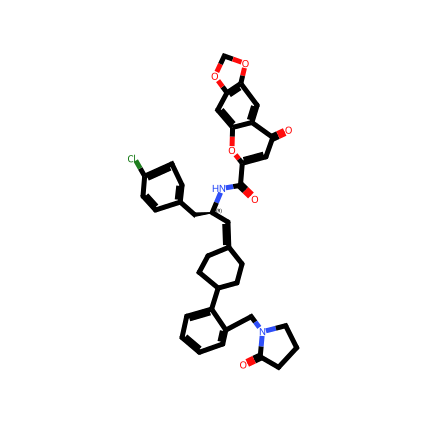 O=C(N[C@@H](C=C1CCC(c2ccccc2CN2CCCC2=O)CC1)Cc1ccc(Cl)cc1)c1cc(=O)c2cc3c(cc2o1)OCO3